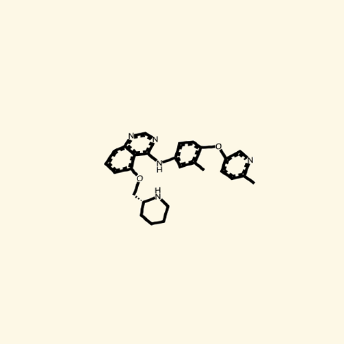 Cc1ccc(Oc2ccc(Nc3ncnc4cccc(OC[C@H]5CCCCN5)c34)cc2C)cn1